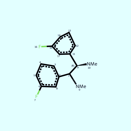 CNC(c1cccc(F)c1)[C@H](NC)c1cccc(F)c1